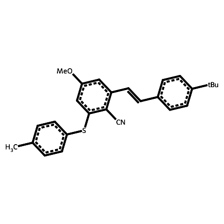 COc1cc(C=Cc2ccc(C(C)(C)C)cc2)c(C#N)c(Sc2ccc(C)cc2)c1